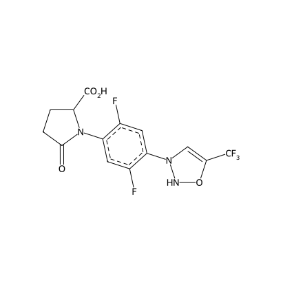 O=C(O)C1CCC(=O)N1c1cc(F)c(N2C=C(C(F)(F)F)ON2)cc1F